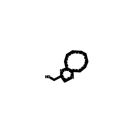 OCc1cnc2ccccccccc2n1